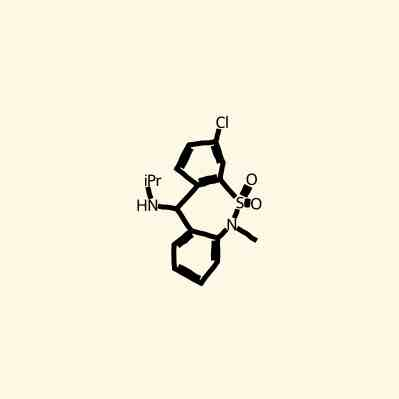 CC(C)NC1c2ccccc2N(C)S(=O)(=O)c2cc(Cl)ccc21